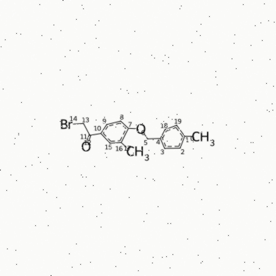 Cc1ccc(COc2ccc(C(=O)CBr)cc2C)cc1